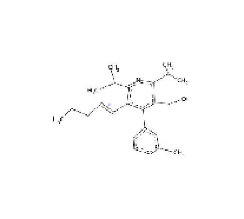 CCC/C=C/c1c(C(C)C)nc(C(C)C)c(CO)c1-c1cccc(C)c1